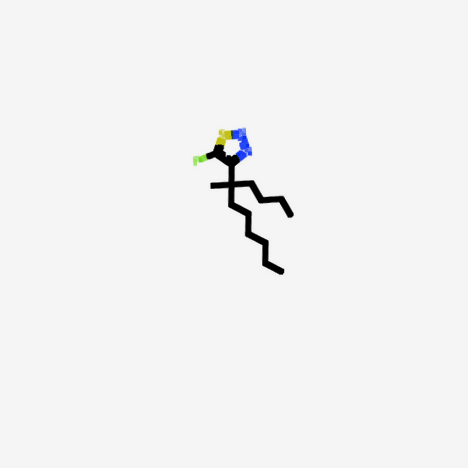 CCCCCCC(C)(CCCC)c1nnsc1F